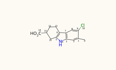 Cc1cc2[nH]c3c(c2cc1Cl)CCC(C(=O)O)C3